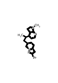 CC(C)c1cc2ccc(CC(C)c3ccnc4c3ccn4C)cn2n1